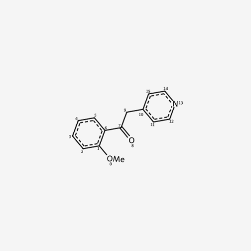 COc1ccccc1C(=O)Cc1ccncc1